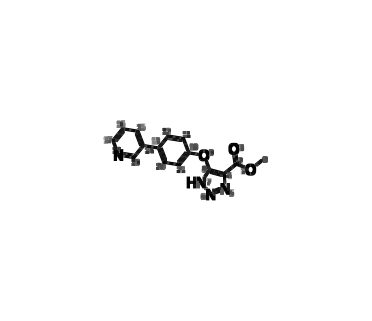 COC(=O)c1nn[nH]c1Oc1ccc(-c2cccnc2)cc1